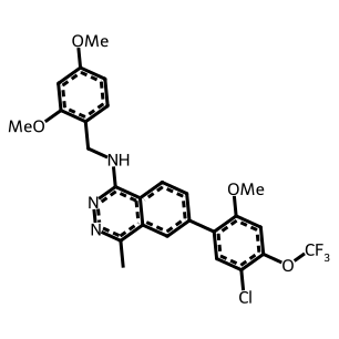 COc1ccc(CNc2nnc(C)c3cc(-c4cc(Cl)c(OC(F)(F)F)cc4OC)ccc23)c(OC)c1